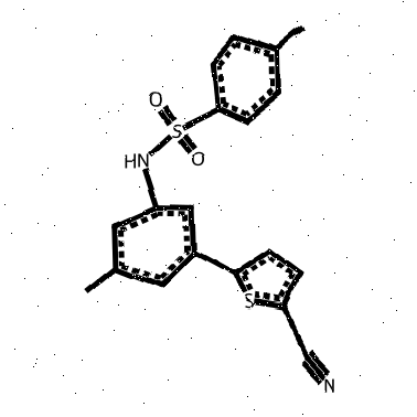 Cc1ccc(S(=O)(=O)Nc2cc(C)cc(-c3ccc(C#N)s3)c2)cc1